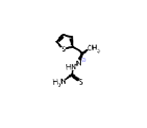 C/C(=N/NC(N)=S)c1cccs1